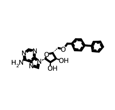 Nc1ncnc2c1ncn2[C@@H]1O[C@H](COCc2ccc(-c3ccccc3)cc2)[C@@H](O)[C@H]1O